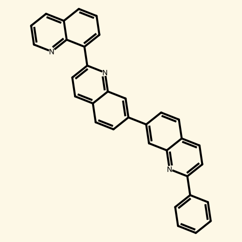 c1ccc(-c2ccc3ccc(-c4ccc5ccc(-c6cccc7cccnc67)nc5c4)cc3n2)cc1